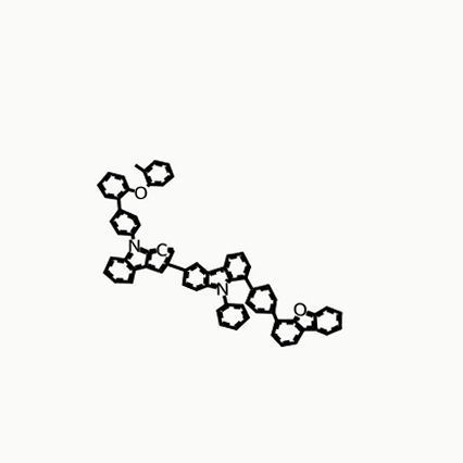 Cc1ccccc1Oc1ccccc1-c1ccc(-n2c3ccccc3c3cc(-c4ccc5c(c4)c4cccc(-c6ccc(-c7cccc8c7oc7ccccc78)cc6)c4n5-c4ccccc4)ccc32)cc1